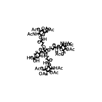 CC(=O)NC1C(ONC(=O)CCOCC(COCCC(=O)NOC2OC(COC(C)=O)C(OC(C)=O)C(OC(C)=O)C2NC(C)=O)(COCCC(=O)NOC2OC(COC(C)=O)C(OC(C)=O)C(OC(C)=O)C2NC(C)=O)NC(=O)C2CCN(C(O)O)CC2)OC(COC(C)=O)C(OC(C)=O)C1OC(C)=O